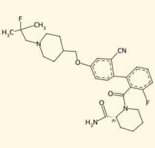 CC(C)(F)CN1CCC(COc2ccc(-c3cccc(F)c3C(=O)N3CCCC[C@@H]3C(N)=O)c(C#N)c2)CC1